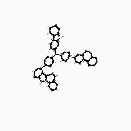 c1ccc2c(c1)ccc1cc(-c3ccc(N(c4ccc(-c5cccc6oc7c8ccccc8ccc7c56)cc4)c4ccc5c(c4)sc4ccccc45)cc3)ccc12